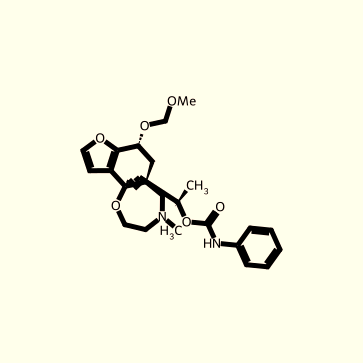 COCO[C@@H]1C[C@@]23CN(C)CCO[C@@]2(CC=C3[C@@H](C)OC(=O)Nc2ccccc2)c2ccoc21